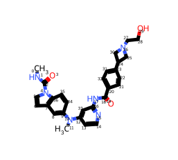 CNC(=O)n1ccc2cc(N(C)c3ccnc(NC(=O)c4ccc(C5CN(CCO)C5)cc4)c3)ccc21